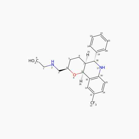 O=C(O)CNC[C@H]1CC[C@@H]2[C@H](O1)c1cc(C(F)(F)F)ccc1N[C@H]2c1ccccc1